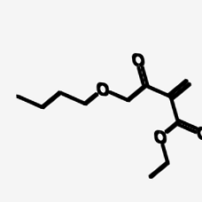 C=C(C(=O)COCCCC)C(=O)OCC